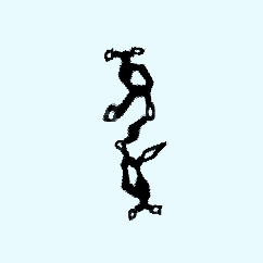 O=C(Cl)c1ccc(OCCOc2ccc(C(=O)Cl)cc2Cl)c(Cl)c1